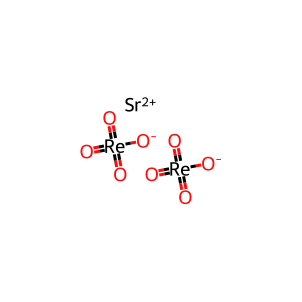 [O]=[Re](=[O])(=[O])[O-].[O]=[Re](=[O])(=[O])[O-].[Sr+2]